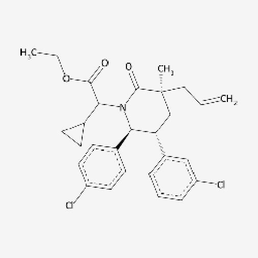 C=CC[C@@]1(C)C[C@H](c2cccc(Cl)c2)[C@@H](c2ccc(Cl)cc2)N(C(C(=O)OCC)C2CC2)C1=O